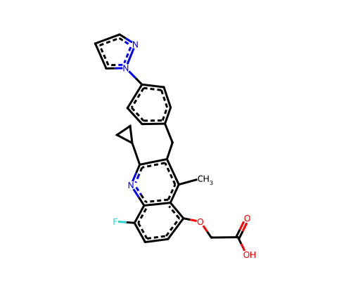 Cc1c(Cc2ccc(-n3cccn3)cc2)c(C2CC2)nc2c(F)ccc(OCC(=O)O)c12